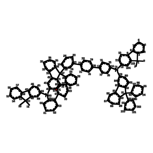 CC1(C)c2ccccc2-c2ccc(N(c3ccc(-c4ccc(-c5cccc(C6(c7ccccc7)c7ccccc7-c7cc(N(c8ccc9c(c8)C(C)(C)c8ccccc8-9)c8ccccc8-c8ccccc8)ccc76)c5)cc4)cc3)c3ccc4c(c3)-c3ccccc3C4(c3ccccc3)c3ccccc3)cc21